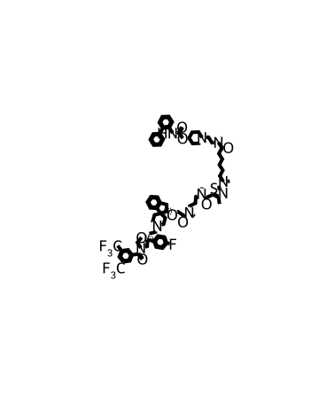 Cc1nc(N(C)CCCCCC(=O)N(C)CCN2CCC(OC(=O)Nc3ccccc3-c3ccccc3)CC2)sc1C(=O)N(C)CCCN(C)C(=O)CO[C@H]1Cc2ccccc2C12CCN(CC[C@]1(c3ccc(F)cc3)CN(C(=O)c3cc(C(F)(F)F)cc(C(F)(F)F)c3)CO1)CC2